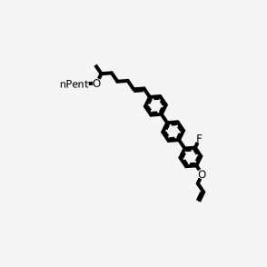 C=CCOc1ccc(-c2ccc(-c3ccc(/C=C/CCCC(C)OCCCCC)cc3)cc2)c(F)c1